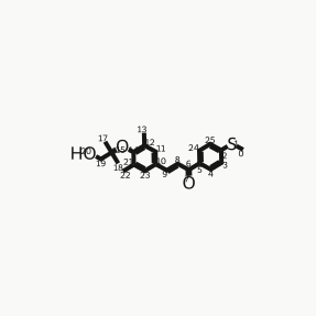 CSc1ccc(C(=O)C=Cc2cc(C)c(OC(C)(C)CO)c(C)c2)cc1